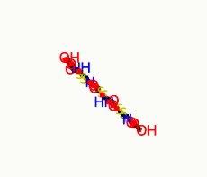 O=C(NCCSCSCC/N=C/OOCCSCSCCNC(=O)OCCSCSCC/N=C/OOCCCO)OCCCO